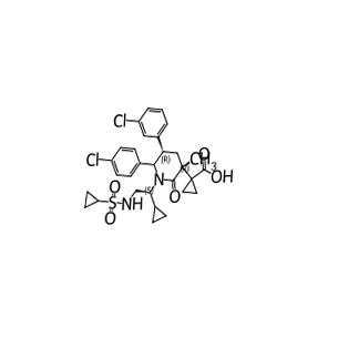 C[C@]1(C2(C(=O)O)CC2)C[C@H](c2cccc(Cl)c2)C(c2ccc(Cl)cc2)N([C@H](CNS(=O)(=O)C2CC2)C2CC2)C1=O